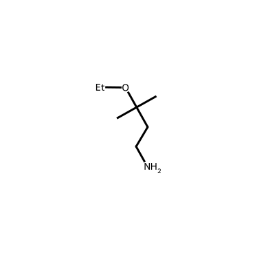 CCOC(C)(C)CCN